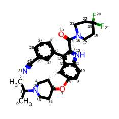 CC(C)N1CCC(Oc2ccc3[nH]c(C(=O)N4CCC(F)(F)CC4)c(-c4cccc(C#N)c4)c3c2)CC1